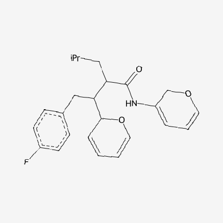 CC(C)CC(C(=O)NC1=CC=COC1)C(Cc1ccc(F)cc1)C1C=CC=CO1